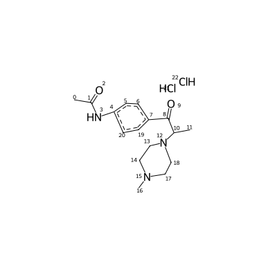 CC(=O)Nc1ccc(C(=O)C(C)N2CCN(C)CC2)cc1.Cl.Cl